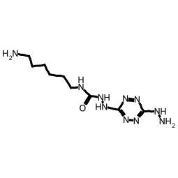 NCCCCCCNC(=O)NNc1nnc(NN)nn1